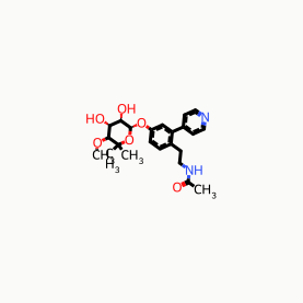 COC1[C@@H](O)[C@@H](O)[C@@H](Oc2ccc(CCNC(C)=O)c(-c3ccncc3)c2)OC1(C)C